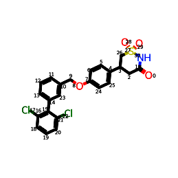 O=C1CC(c2ccc(OCc3cccc(-c4c(Cl)cccc4Cl)c3)cc2)CS(=O)(=O)N1